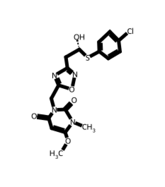 COc1cc(=O)n(Cc2nc(C[C@H](O)Sc3ccc(Cl)cc3)no2)c(=O)n1C